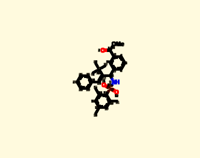 COC(=O)c1cccc(C(NS(=O)(=O)c2c(C)cc(C)cc2C)/C(=C/c2ccccc2)[Si](C)(C)C)c1